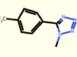 Cn1nnnc1-c1ccc(C(F)(F)F)cc1